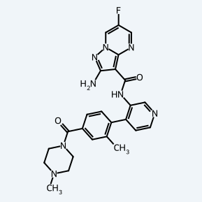 Cc1cc(C(=O)N2CCN(C)CC2)ccc1-c1ccncc1NC(=O)c1c(N)nn2cc(F)cnc12